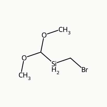 COC(OC)[SiH2]CBr